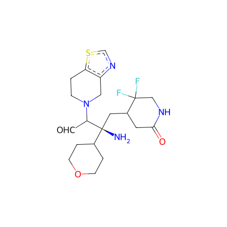 N[C@@](CC1CC(=O)NCC1(F)F)(C1CCOCC1)C(C=O)N1CCc2scnc2C1